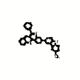 N#Cc1ccc2oc3ccc(-c4ccc5c(c4)nc(-c4ccccc4)c4cc6ccccc6nc45)cc3c2c1